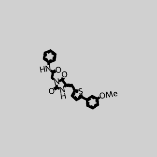 COc1cccc(-c2ccc(/C=C3\NC(=O)N(CC(=O)Nc4ccccc4)C3=O)s2)c1